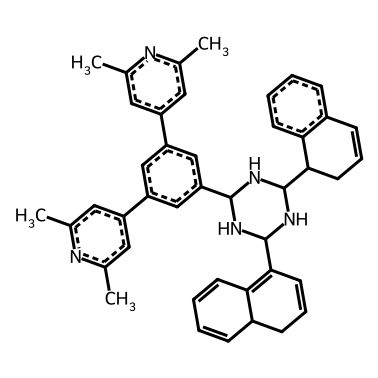 Cc1cc(-c2cc(-c3cc(C)nc(C)c3)cc(C3NC(C4=C5C=CC=CC5CC=C4)NC(C4CC=Cc5ccccc54)N3)c2)cc(C)n1